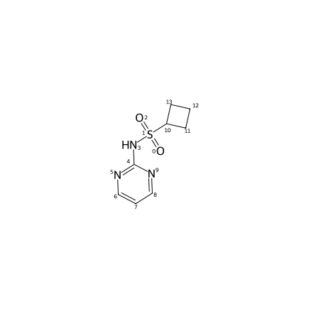 O=S(=O)(Nc1ncccn1)C1CCC1